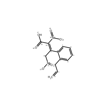 C=CCc1ccccc1C(C[N+](=O)[O-])=C(C(=O)O)[N+](=O)[O-]